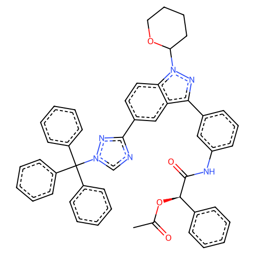 CC(=O)O[C@@H](C(=O)Nc1cccc(-c2nn(C3CCCCO3)c3ccc(-c4ncn(C(c5ccccc5)(c5ccccc5)c5ccccc5)n4)cc23)c1)c1ccccc1